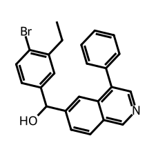 CCc1cc(C(O)c2ccc3cncc(-c4ccccc4)c3c2)ccc1Br